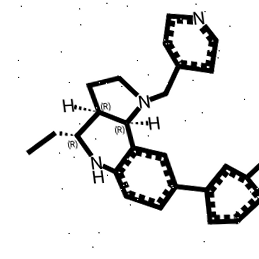 CC[C@H]1Nc2ccc(-c3cccc(F)c3)cc2[C@H]2[C@@H]1CCN2Cc1ccncc1